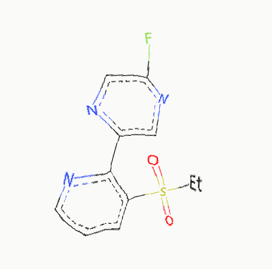 CCS(=O)(=O)c1cccnc1-c1cnc(F)cn1